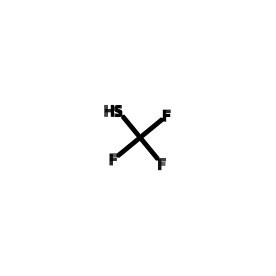 FC(F)(F)S